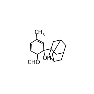 CC1=CC(O)(C23CC4CC(CC(C4)C2)C3)C(C=O)C=C1